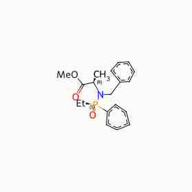 CC[P@](=O)(c1ccccc1)N(Cc1ccccc1)[C@H](C)C(=O)OC